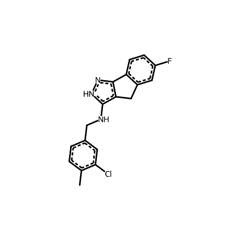 Cc1ccc(CNc2[nH]nc3c2Cc2cc(F)ccc2-3)cc1Cl